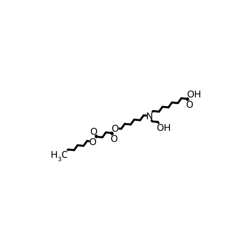 CCCCCCOC(=O)CCC(=O)OCCCCCCN(CCO)CCCCCCCC(=O)O